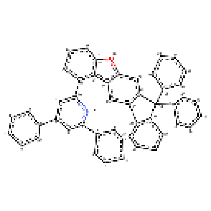 c1ccc(-c2cc(-c3ccccc3)nc(-c3cccc4oc5cc6c(cc5c34)-c3ccccc3C6(c3ccccc3)c3ccccc3)c2)cc1